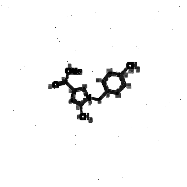 COC(=O)c1cc(C)n(Cc2ccc(C)cc2)c1